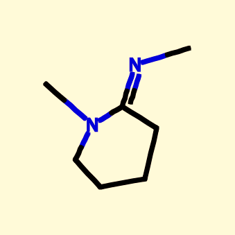 CN=C1CCCCN1C